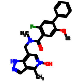 CCOc1cc(C(=O)N(C)Cc2c[n+](O)c(C)c3cn[nH]c23)c(F)cc1-c1ccccc1